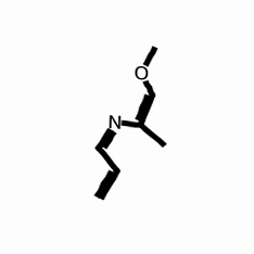 C=C/C=N\C(C)=C/OC